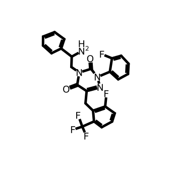 NC(Cn1c(=O)c(Cc2c(F)cccc2C(F)(F)F)nn(-c2ccccc2F)c1=O)c1ccccc1